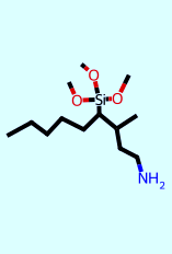 CCCCCC(C(C)CCN)[Si](OC)(OC)OC